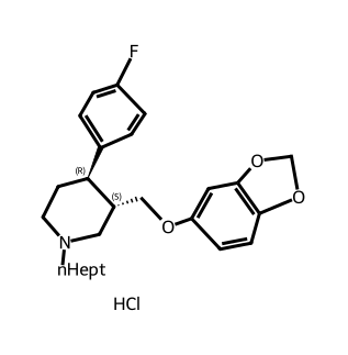 CCCCCCCN1CC[C@@H](c2ccc(F)cc2)[C@H](COc2ccc3c(c2)OCO3)C1.Cl